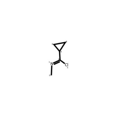 CN=C(Cl)C1CC1